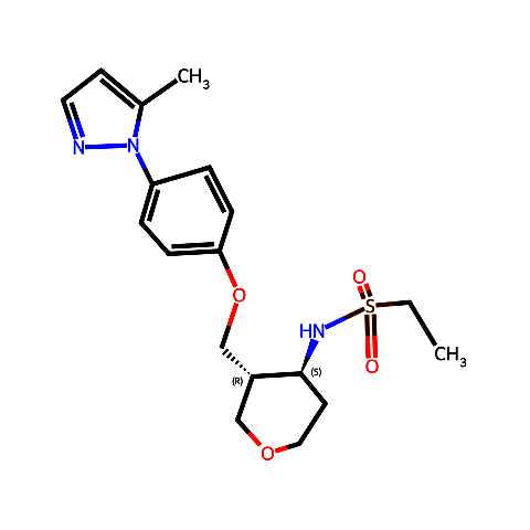 CCS(=O)(=O)N[C@H]1CCOC[C@@H]1COc1ccc(-n2nccc2C)cc1